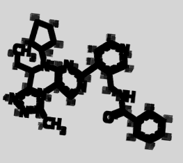 CCC1c2nnc(C)n2-c2cnc(-c3ccncc3CNC(=O)c3ccccc3)nc2N1C1CCCC1